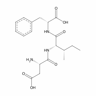 CC[C@H](C)[C@H](NC(=O)[C@@H](N)CC(=O)O)C(=O)N[C@H](Cc1ccccc1)C(=O)O